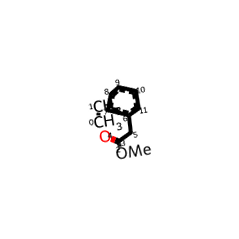 CC.COC(=O)Cc1ccccc1